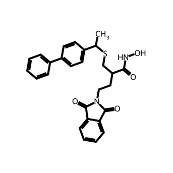 CC(SCC(CCN1C(=O)c2ccccc2C1=O)C(=O)NO)c1ccc(-c2ccccc2)cc1